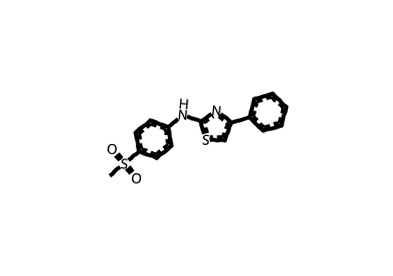 CS(=O)(=O)c1ccc(Nc2nc(-c3ccccc3)cs2)cc1